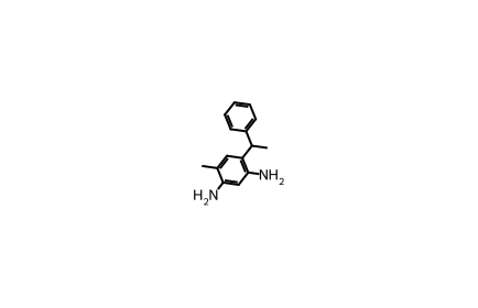 Cc1cc(C(C)c2ccccc2)c(N)cc1N